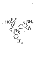 Nc1nc2ccc(C(=S)N3CCOC[C@@H]3c3ccc(C(F)(F)F)cc3)cc2c2c1COC2.O=C(O)C(F)(F)F